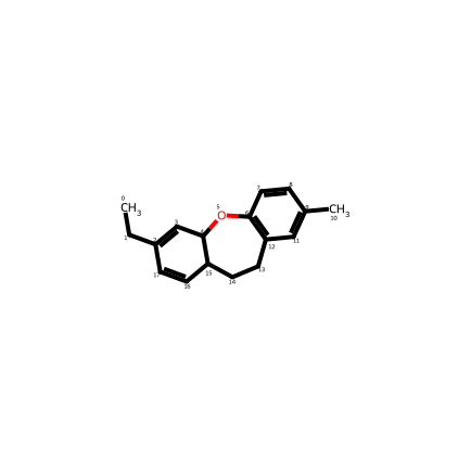 CCC1=CC2Oc3ccc(C)cc3CCC2C=C1